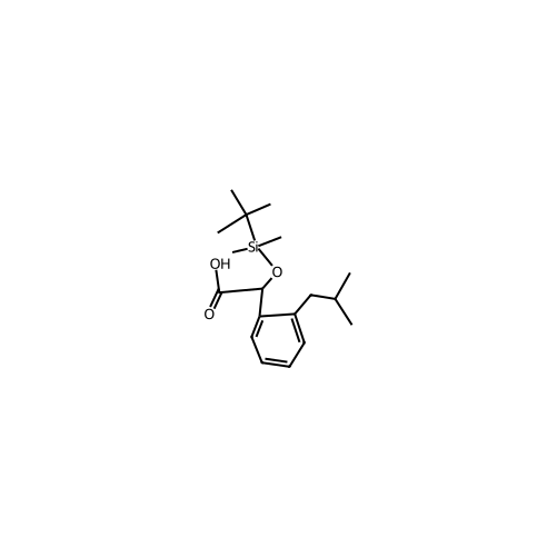 CC(C)Cc1ccccc1C(O[Si](C)(C)C(C)(C)C)C(=O)O